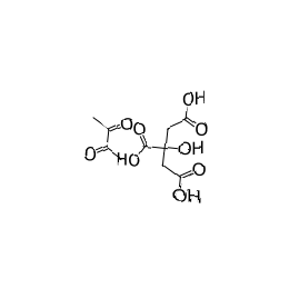 CC(=O)C(C)=O.O=C(O)CC(O)(CC(=O)O)C(=O)O